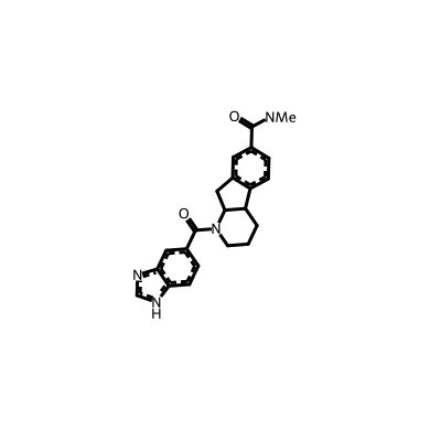 CNC(=O)c1ccc2c(c1)CC1C2CCCN1C(=O)c1ccc2[nH]cnc2c1